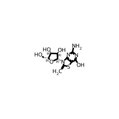 C=C1Sc2c(O)nc(N)nc2N1[C@@H]1O[C@H](CO)[C@H](O)[C@H]1O